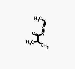 CC=C=NC(=O)C(C)C